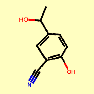 CC(O)c1ccc(O)c(C#N)c1